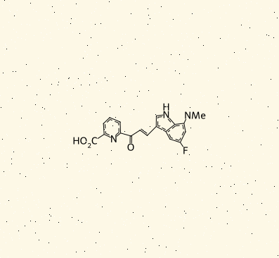 CNc1cc(F)cc2c(C=CC(=O)c3cccc(C(=O)O)n3)c[nH]c12